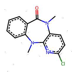 CN1C(=O)c2ccccc2N(C)c2nc(Cl)ccc21